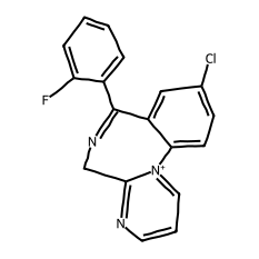 Fc1ccccc1C1=NCc2nccc[n+]2-c2ccc(Cl)cc21